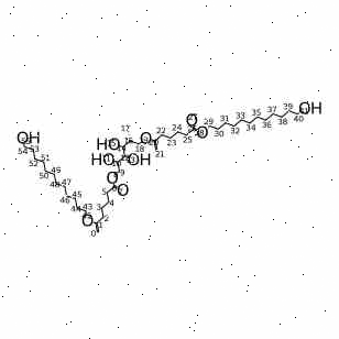 C=C(CCCCC(=O)OCC(O)C(O)C(O)[C@H](C)COC(=C)CCCCC(=O)OCCCCCCCCCCCCO)OCCCCCCCCCCCCO